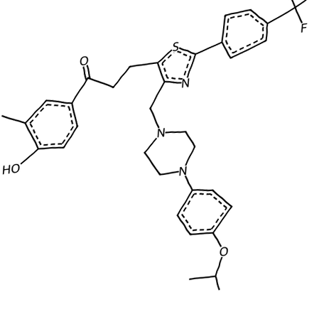 Cc1cc(C(=O)CCc2sc(-c3ccc(C(F)(F)F)cc3)nc2CN2CCN(c3ccc(OC(C)C)cc3)CC2)ccc1O